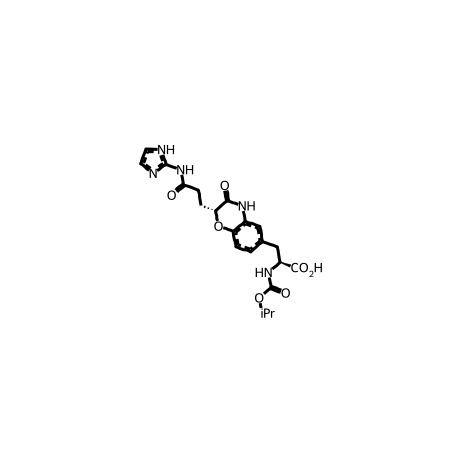 CC(C)OC(=O)N[C@@H](Cc1ccc2c(c1)NC(=O)[C@@H](CCC(=O)Nc1ncc[nH]1)O2)C(=O)O